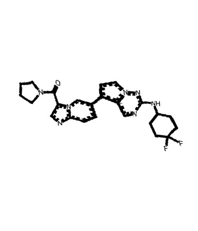 O=C(c1cnc2ccc(-c3ccn4nc(NC5CCC(F)(F)CC5)ncc34)cn12)N1CCCC1